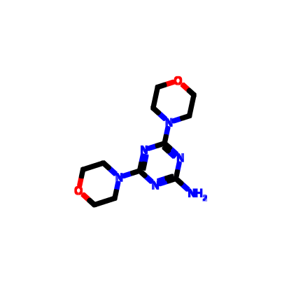 Nc1nc(N2CCOCC2)nc(N2CCOCC2)n1